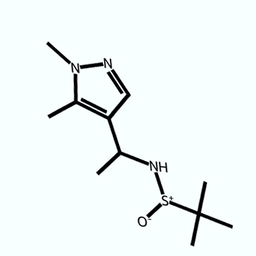 Cc1c(C(C)N[S+]([O-])C(C)(C)C)cnn1C